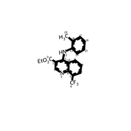 CCOC(=O)c1cnc2c(C(F)(F)F)cccc2c1Nc1ccccc1C